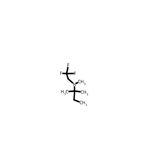 CCC(C)(C)N(C)CC(F)(F)F